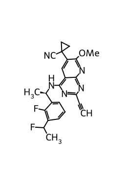 C#Cc1nc(N[C@H](C)c2cccc(C(C)F)c2F)c2cc(C3(C#N)CC3)c(OC)nc2n1